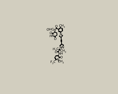 Cc1ccc(N2CC(C#Cc3cnn(C(C)(C)C(=O)Nc4ccc(C(F)(F)F)n(C)c4=O)c3)C2)cc1C(=O)N(C=O)C1CCC(=O)NC1=O